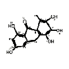 Cc1c(O)c(O)c(O)c2c1C(=O)c1c(O)cc(O)cc1C2